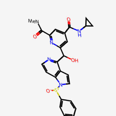 CNC(=O)c1cc(C(=O)NC2CC2)cc(C(O)c2nccc3c2ccn3[S+]([O-])c2ccccc2)n1